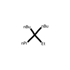 [CH2]CCCC(CC)(CCC)CCCC